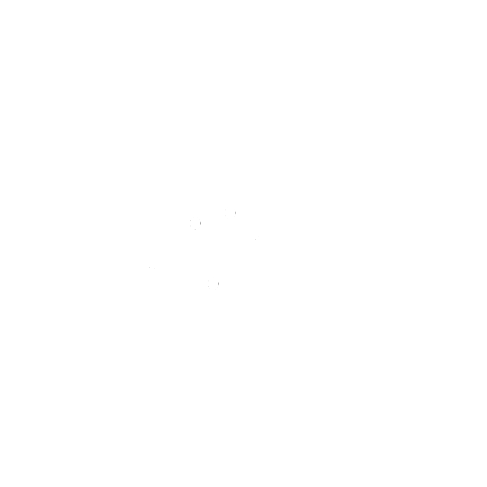 C=C(C)C(=O)OC1CCc2ccccc2C1=O